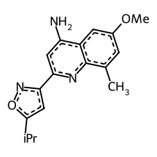 COc1cc(C)c2nc(-c3cc(C(C)C)on3)cc(N)c2c1